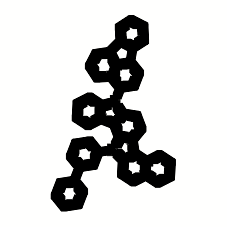 c1ccc(-c2cccc(-n3c4ccc5ccccc5c4c4ccc5c(c6ccccc6n5-c5ccc6c7c(cccc57)-c5ccccc5-6)c43)c2)cc1